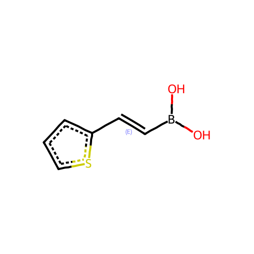 OB(O)/C=C/c1cccs1